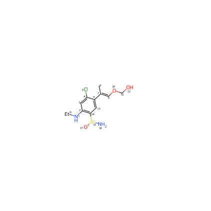 CCNc1cc(Cl)c(/C(C)=C/OCO)cc1[S+](N)[O-]